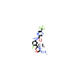 C[C@@]1(c2cc(NC(=O)c3cnc(C(F)(F)F)cn3)ccc2F)COCC(N)=N1